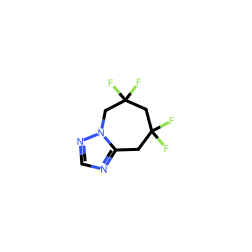 FC1(F)Cc2ncnn2CC(F)(F)C1